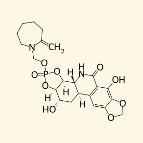 C=C1CCCCCN1COP1(=O)O[C@H]2[C@@H]3NC(=O)c4c(cc5c(c4O)OCO5)[C@H]3C[C@H](O)[C@H]2O1